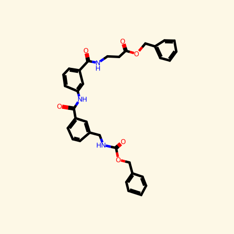 O=C(CCNC(=O)c1cccc(NC(=O)c2cccc(CNC(=O)OCc3ccccc3)c2)c1)OCc1ccccc1